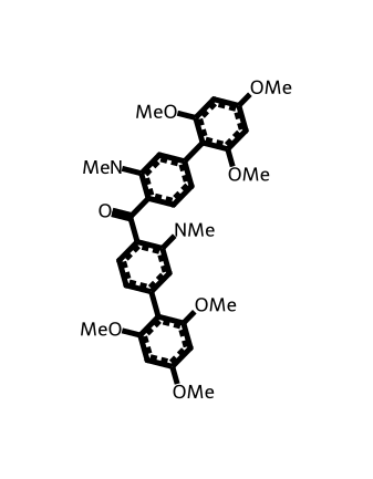 CNc1cc(-c2c(OC)cc(OC)cc2OC)ccc1C(=O)c1ccc(-c2c(OC)cc(OC)cc2OC)cc1NC